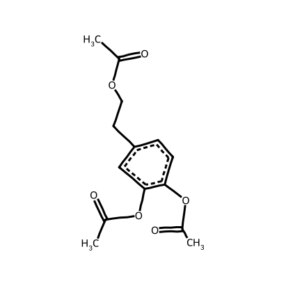 CC(=O)OCCc1ccc(OC(C)=O)c(OC(C)=O)c1